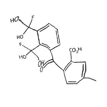 Cc1ccc(C(=O)c2cccc(C(O)(O)F)c2C(O)(O)F)c(C(=O)O)c1